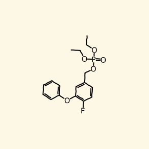 CCOP(=O)(OCC)OCc1ccc(F)c(Oc2ccccc2)c1